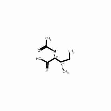 CC[C@H](C)[C@@H](NC(C)=O)C(=O)O